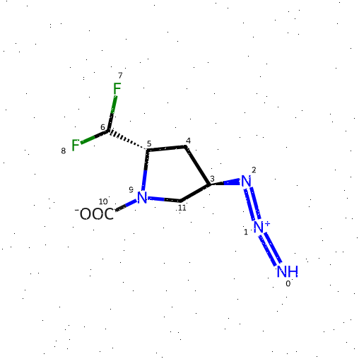 N=[N+]=N[C@@H]1C[C@@H](C(F)F)N(C(=O)[O-])C1